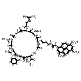 CCNC(=O)[C@@H]1CSCC(=O)N[C@@H](CCCCNC(=S)Nc2cc(S(=O)(=O)O)c3ccc4c(S(=O)(=O)O)cc(S(=O)(=O)O)c5ccc2c3c54)C(=O)N[C@@H](CS)C(=O)N[C@@H](CCCNC(=N)N)C(=O)NCC(=O)N[C@@H](CC(=O)O)C(=O)N[C@@H](CS)C(=O)N[C@@H](Cc2ccccc2)C(=O)N1